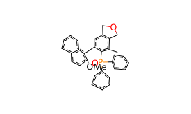 COc1ccc2ccccc2c1-c1cc2c(c(C)c1P(=O)(c1ccccc1)c1ccccc1)COC2